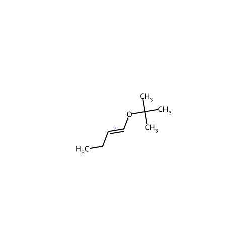 CC/C=C/OC(C)(C)C